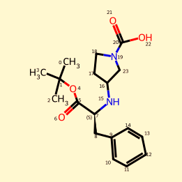 CC(C)(C)OC(=O)[C@H](Cc1ccccc1)NC1CCN(C(=O)O)C1